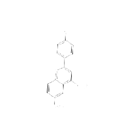 CCOC(=O)c1cc(-c2ccc(Cl)cc2)nc2ccc(OC)cc12